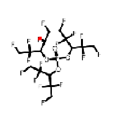 O=P(OC(C(F)(F)CF)C(F)(F)CF)(OC(C(F)(F)CF)C(F)(F)CF)OC(C(F)(F)CF)C(F)(F)CF